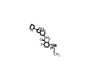 CCCS(=O)(=O)Nc1ccc(F)c(C(=O)Nc2cnc3[nH]c(-c4ccccn4)cc3c2)c1F